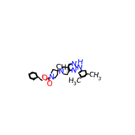 Cc1cc(C)cc(Nc2ncc3c(n2)CCN(C2(C)CCN(C(=O)OCc4ccccc4)CC2)C3)c1